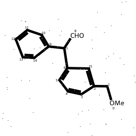 COCc1cccc(C(C=O)c2ccccc2)c1